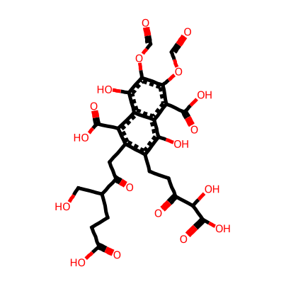 O=COc1c(OC=O)c(C(=O)O)c2c(O)c(CCC(=O)C(O)C(=O)O)c(CC(=O)C(CO)CCC(=O)O)c(C(=O)O)c2c1O